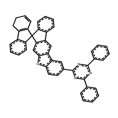 C1=CC2=C(CC1)c1ccccc1C21c2ccccc2-c2cc3c(cc21)oc1ccc(-c2nc(-c4ccccc4)nc(-c4ccccc4)n2)cc13